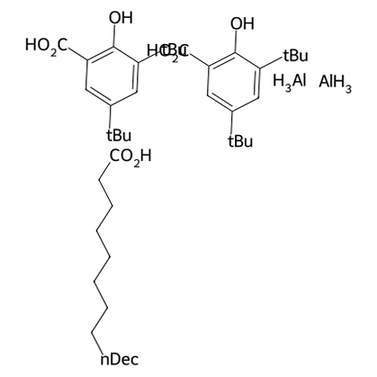 CC(C)(C)c1cc(C(=O)O)c(O)c(C(C)(C)C)c1.CC(C)(C)c1cc(C(=O)O)c(O)c(C(C)(C)C)c1.CCCCCCCCCCCCCCCCCC(=O)O.[AlH3].[AlH3]